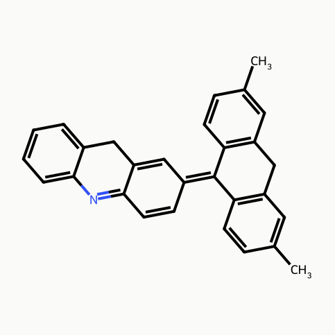 Cc1ccc2c(c1)Cc1cc(C)ccc1C2=c1ccc2c(c1)Cc1ccccc1N=2